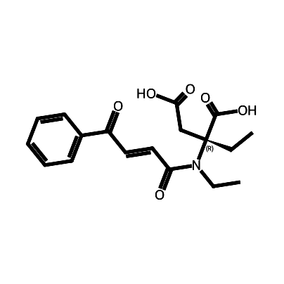 CCN(C(=O)C=CC(=O)c1ccccc1)[C@](CC)(CC(=O)O)C(=O)O